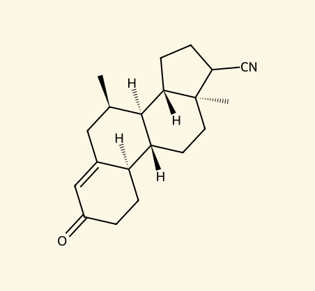 C[C@@H]1CC2=CC(=O)CC[C@@H]2[C@H]2CC[C@]3(C)C(C#N)CC[C@H]3[C@@H]21